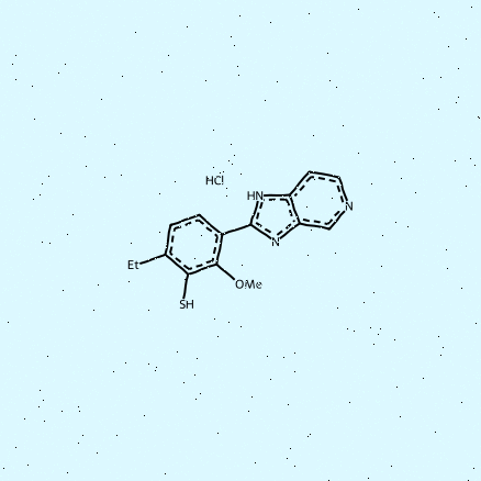 CCc1ccc(-c2nc3cnccc3[nH]2)c(OC)c1S.Cl